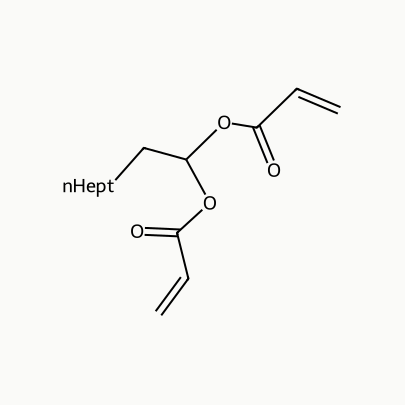 C=CC(=O)OC(CCCCCCCC)OC(=O)C=C